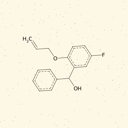 C=CCOc1ccc(F)cc1C(O)c1ccccc1